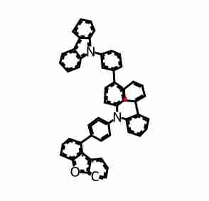 C1=C=C(N(c2ccc(-c3cccc(-n4c5ccccc5c5ccccc54)c3)cc2)c2ccccc2C2=CC=CCC2)C=CC=1c1cccc2oc3ccccc3c12